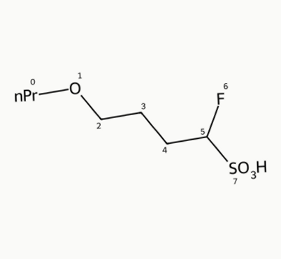 CCCOCCCC(F)S(=O)(=O)O